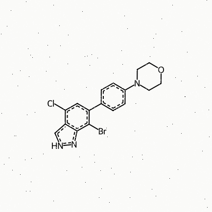 Clc1cc(-c2ccc(N3CCOCC3)cc2)c(Br)c2n[nH]cc12